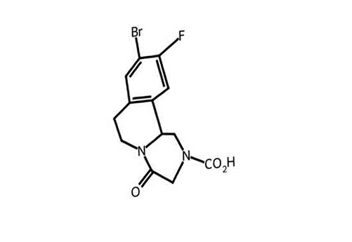 O=C(O)N1CC(=O)N2CCc3cc(Br)c(F)cc3C2C1